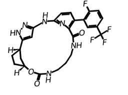 O=C1NCCCNC(=O)c2nc(ccc2-c2cc(C(F)(F)F)ccc2F)Nc2cc([nH]n2)[C@H]2CC[C@H](C2)O1